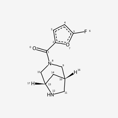 O=C(c1ccc(F)o1)N1C[C@@H]2CN[C@@H](C2)C1